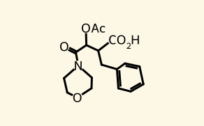 CC(=O)OC(C(=O)N1CCOCC1)C(Cc1ccccc1)C(=O)O